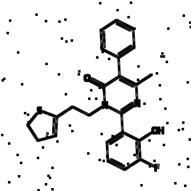 Cc1nc(-c2cccc(F)c2O)n(CCC2=CCCS2)c(=O)c1-c1ccccc1